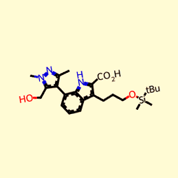 Cc1nn(C)c(CO)c1-c1cccc2c(CCCO[Si](C)(C)C(C)(C)C)c(C(=O)O)[nH]c12